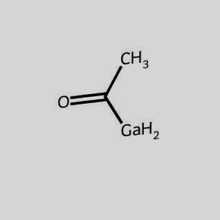 C[C](=O)[GaH2]